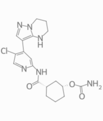 NC(=O)O[C@@H]1CCC[C@H](C(=O)Nc2cc(-c3cnn4c3NCCC4)c(Cl)cn2)C1